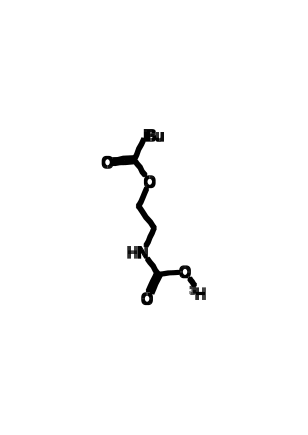 [3H]OC(=O)NCCOC(=O)C(C)CC